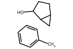 Cc1ccccc1.OC1CCC2CC12